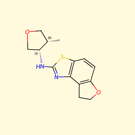 C[C@H]1COC[C@H]1Nc1nc2c3c(ccc2s1)OCC3